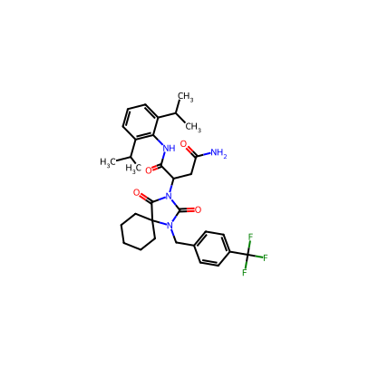 CC(C)c1cccc(C(C)C)c1NC(=O)C(CC(N)=O)N1C(=O)N(Cc2ccc(C(F)(F)F)cc2)C2(CCCCC2)C1=O